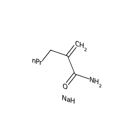 C=C(CCCC)C(N)=O.[NaH]